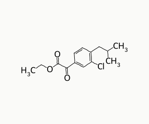 CCOC(=O)C(=O)c1ccc(CC(C)C)c(Cl)c1